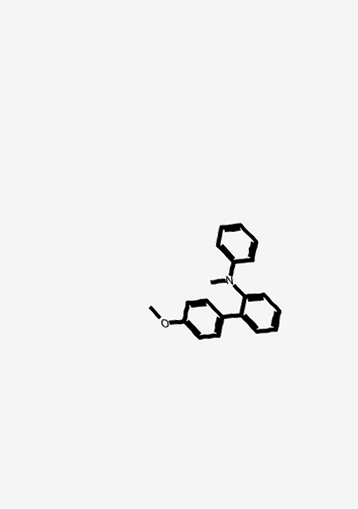 COc1ccc(-c2ccccc2N(C)c2ccccc2)cc1